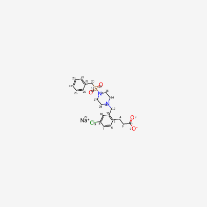 O=C([O-])CCc1ccc(Cl)cc1CN1CCN(S(=O)(=O)Cc2ccccc2)CC1.[Na+]